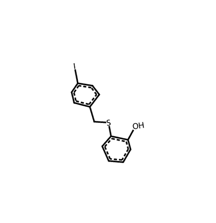 Oc1ccccc1SCc1ccc(I)cc1